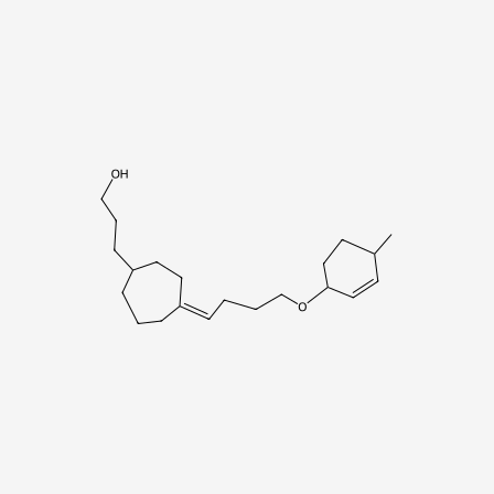 CC1C=CC(OCCC/C=C2/CCCC(CCCO)CC2)CC1